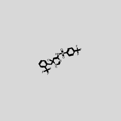 O=S(=O)(NC1=CC(Cl)(Cc2ccccc2C(F)(F)F)NC=N1)c1ccc(C(F)(F)F)cc1